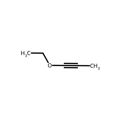 CC#COCC